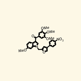 COc1ccc2c(C(=O)c3cc(OC)c(OC)c(OC)c3)cn(Cc3cc(-c4ccc([N+](=O)[O-])cc4)co3)c2c1